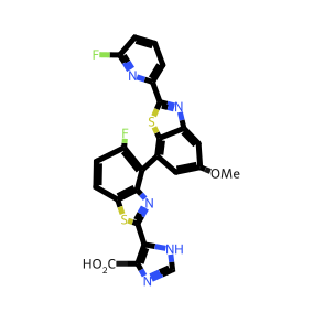 COc1cc(-c2c(F)ccc3sc(-c4[nH]cnc4C(=O)O)nc23)c2sc(-c3cccc(F)n3)nc2c1